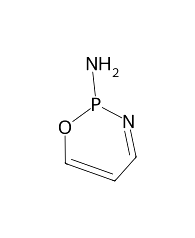 NP1N=CC=CO1